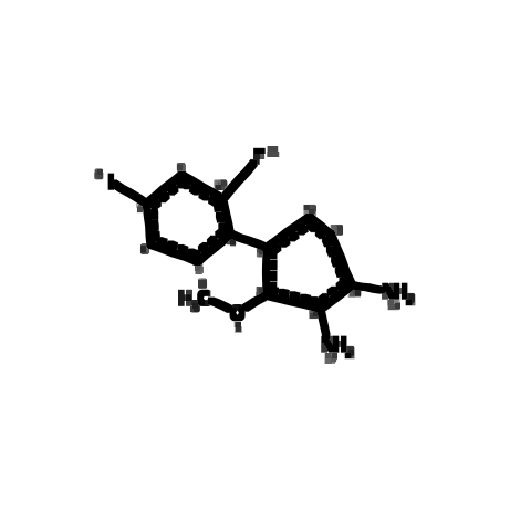 COc1c(-c2ccc(I)cc2F)ccc(N)c1N